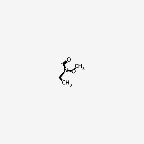 CCN([C]=O)OC